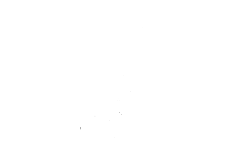 CCCCCCCCCCCCCC=CC(=O)N[C@@H](CC(C)C)C(=O)O